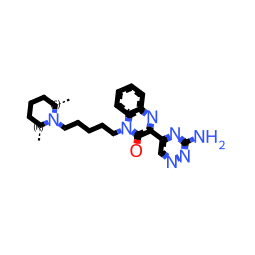 C[C@@H]1CCC[C@H](C)N1CCCCCn1c(=O)c(-c2cnnc(N)n2)nc2ccccc21